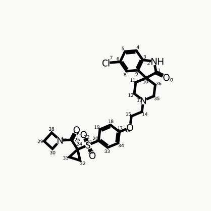 O=C1Nc2ccc(Cl)cc2C12CCN(CCOc1ccc(S(=O)(=O)C3(C(=O)N4CCC4)CC3)cc1)CC2